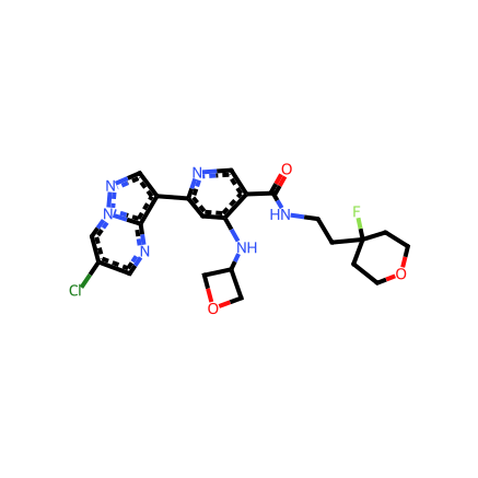 O=C(NCCC1(F)CCOCC1)c1cnc(-c2cnn3cc(Cl)cnc23)cc1NC1COC1